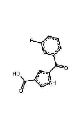 O=C(O)c1c[nH]c(C(=O)c2cccc(F)c2)c1